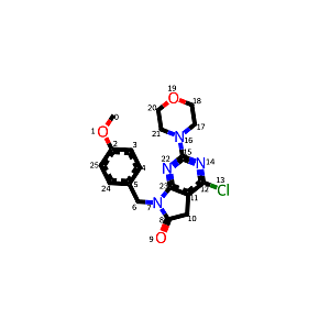 COc1ccc(CN2C(=O)Cc3c(Cl)nc(N4CCOCC4)nc32)cc1